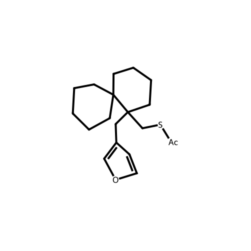 CC(=O)SCC1(Cc2ccoc2)CCCCC12CCCCC2